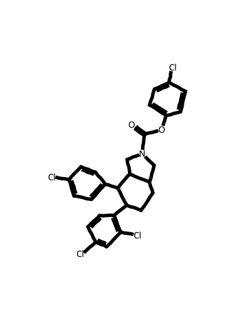 O=C(Oc1ccc(Cl)cc1)N1CC2CCC(c3ccc(Cl)cc3Cl)C(c3ccc(Cl)cc3)C2C1